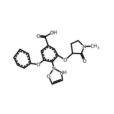 CN1CCC(Oc2cc(C(=O)O)cc(Oc3ccccc3)c2N2NC=CO2)C1=O